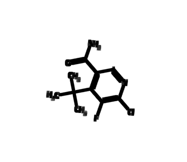 CC(C)(C)c1c(C(N)=O)[c]nc(Cl)c1F